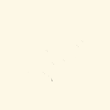 C=Cc1cnnc(-c2cc(C#N)c(N3CCN(C(=O)C4CC4)[C@H](C4CC4)C3)nc2C2CC2)c1